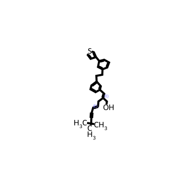 CC(C)(C)C#C/C=C/C/C(=C\c1cccc(CCc2cccc(-c3ccsc3)c2)c1)CO